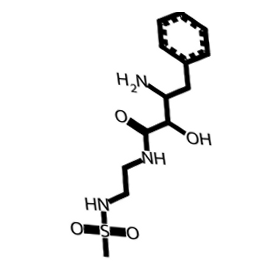 CS(=O)(=O)NCCNC(=O)C(O)C(N)Cc1ccccc1